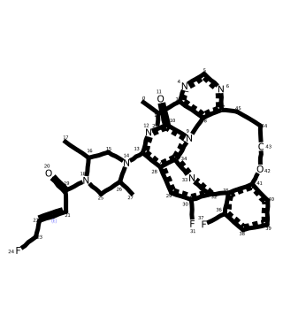 CC(C)c1ncnc2c1-n1c(=O)nc(N3CC(C)N(C(=O)/C=C/CF)CC3C)c3cc(F)c(nc31)-c1c(F)cccc1OCCC2